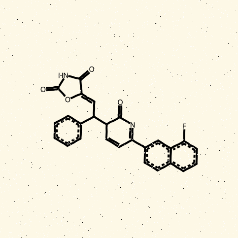 O=C1NC(=O)/C(=C/C(c2ccccc2)C2C=CC(c3ccc4cccc(F)c4c3)=NC2=O)O1